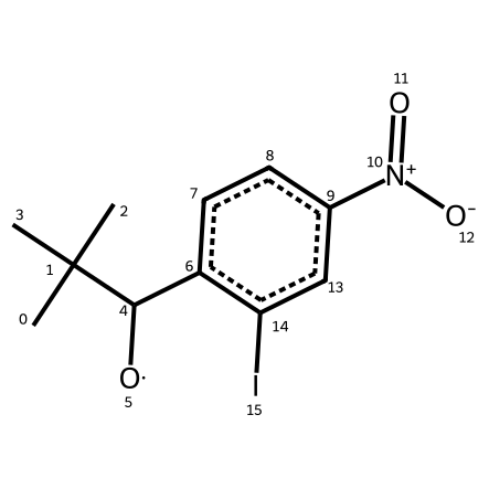 CC(C)(C)C([O])c1ccc([N+](=O)[O-])cc1I